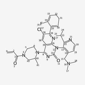 C=CC(=O)N1CCN(c2nc(=O)n(-c3c(CN(C)C)ccnc3C(C)C)c3nc(C4=CCCC=C4F)c(Cl)cc23)C(C)C1